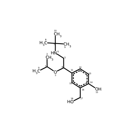 CC(C)OC(CNC(C)(C)C)c1ccc(O)c(CO)c1